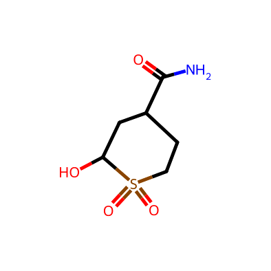 NC(=O)C1CCS(=O)(=O)C(O)C1